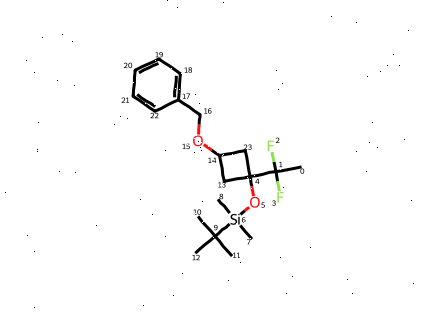 CC(F)(F)C1(O[Si](C)(C)C(C)(C)C)CC(OCc2ccccc2)C1